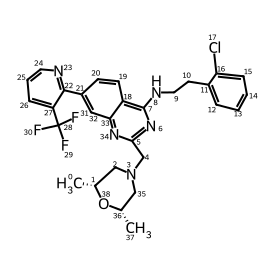 C[C@@H]1CN(Cc2nc(NCCc3ccccc3Cl)c3ccc(-c4ncccc4C(F)(F)F)cc3n2)C[C@H](C)O1